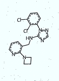 Clc1cccc(-n2ncnc2NCc2cccnc2N2CCC2)c1Cl